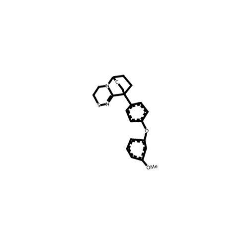 COc1cccc(Oc2ccc(C34CCC(CC3)N3CCSN=C34)cc2)c1